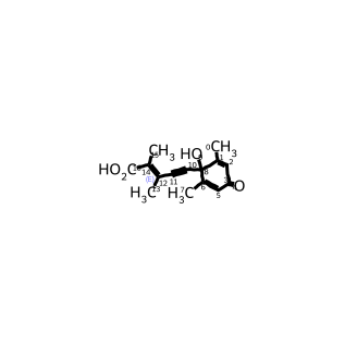 CC1=CC(=O)C=C(C)C1(O)C#C/C(C)=C(\C)C(=O)O